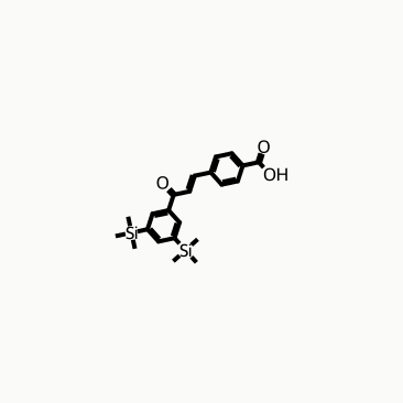 C[Si](C)(C)c1cc(C(=O)C=Cc2ccc(C(=O)O)cc2)cc([Si](C)(C)C)c1